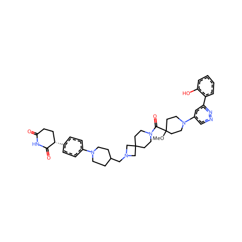 COC1(C(=O)N2CCC3(CC2)CN(CC2CCN(c4ccc([C@H]5CCC(=O)NC5=O)cc4)CC2)C3)CCN(c2cnnc(-c3ccccc3O)c2)CC1